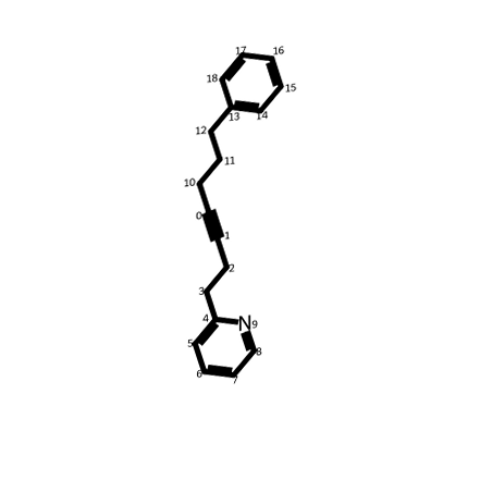 C(#CCCc1ccccn1)CCCc1ccccc1